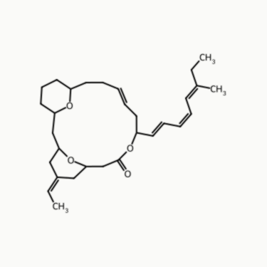 C/C=C1\CC2CC(=O)OC(/C=C/C=C\C=C(/C)CC)C/C=C/CCC3CCCC(CC(C1)O2)O3